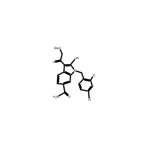 CCCc1c(C(=O)COC)c2ccc(C(N)=O)cc2n1Cc1ccc(Cl)cc1Cl